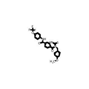 COc1ccc(Cn2c(=S)[nH]c3cc(C(=O)Nc4ccc(OC(F)(F)F)cc4)ccc3c2=O)cc1